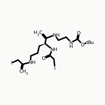 C=C(CI)NCCC[C@H](NC(=O)CI)C(=C)NCCNC(=O)OC(C)(C)C